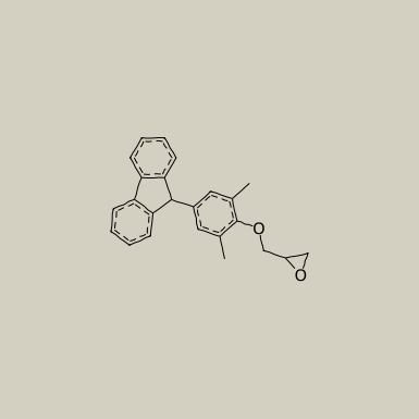 Cc1cc(C2c3ccccc3-c3ccccc32)cc(C)c1OCC1CO1